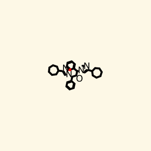 O=C(C(c1ccccc1)n1cnc(C2CCCCCC2)c1)C(c1ccccc1)n1cnc(C2CCCCCC2)c1